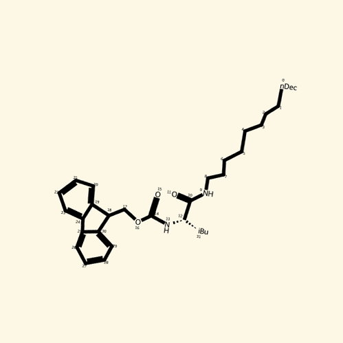 CCCCCCCCCCCCCCCCCCNC(=O)[C@@H](NC(=O)OCC1c2ccccc2-c2ccccc21)[C@@H](C)CC